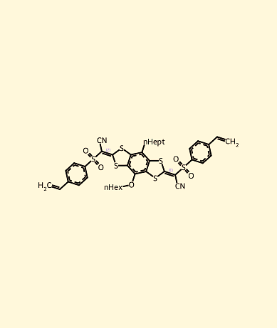 C=Cc1ccc(S(=O)(=O)/C(C#N)=C2/Sc3c(CCCCCCC)c4c(c(OCCCCCC)c3S2)S/C(=C(\C#N)S(=O)(=O)c2ccc(C=C)cc2)S4)cc1